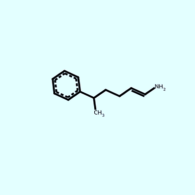 CC(CC/C=C/N)c1ccccc1